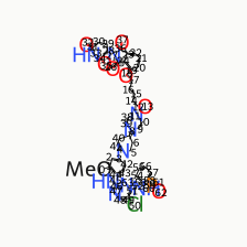 COc1cc(N2CCC(N3CCN(C(=O)CCCCOc4cccc5c4C(=O)N(C4CCC(=O)NC4=O)C5=O)CC3)CC2)ccc1Nc1ncc(Cl)c(Nc2ccccc2P(C)(C)=O)n1